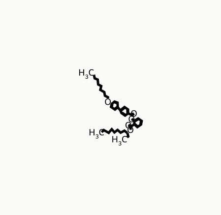 CCCCCCCCCCOc1ccc(-c2ccc(C(=O)Oc3ccccc3C(=O)OC(CC)CCCCCCCC)cc2)cc1